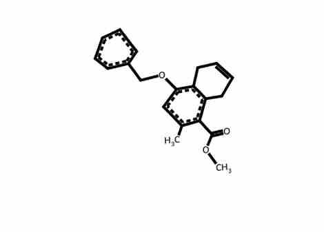 COC(=O)c1c(C)cc(OCc2ccccc2)c2c1CC=CC2